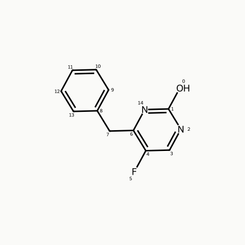 Oc1ncc(F)c(Cc2ccccc2)n1